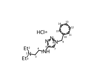 CCN(CC)CCNc1cn(Cc2ccccc2)nn1.Cl